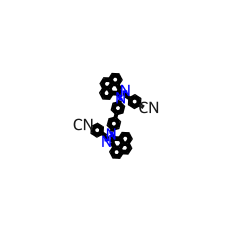 [C-]#[N+]c1ccc(-c2nc3c4cccc5ccc6cccc(c6c54)c3n2-c2ccc(-c3ccc(-n4c(-c5ccc(C#N)cc5)nc5c6cccc7ccc8cccc(c8c76)c54)cc3)cc2)cc1